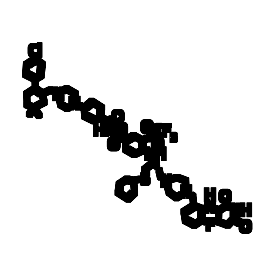 CC1(C)CCC(c2ccc(Cl)cc2)=C(CN2CCN(c3ccc(C(=O)NS(=O)(=O)c4ccc(N[C@H](CCN5CCN(Cc6cccc(F)c6NC6CCC(=O)NC6=O)CC5)CSc5ccccc5)c(S(=O)(=O)C(F)(F)F)c4)cc3)CC2)C1